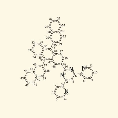 c1ccc(-c2cc(-c3ccccn3)nc(-c3ccc4c(-c5ccc6ccccc6c5)c5ccccc5c(-c5ccc6ccccc6c5)c4c3)n2)nc1